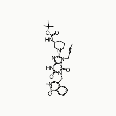 CC#CCn1c(N2CCCC(NC(=O)OC(C)(C)C)C2)nc2[nH]c(=O)n(Cc3cn(C)c(=O)c4ccccc34)c(=O)c21